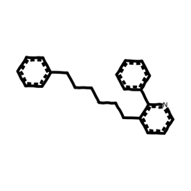 [CH](CCCc1ccccc1)CCc1cccnc1-c1ccccc1